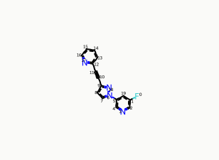 Fc1cncc(-n2ccc(C#Cc3ccccn3)n2)c1